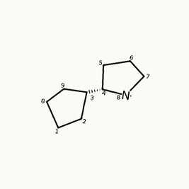 C1CCC([C@@H]2CCC[N]2)C1